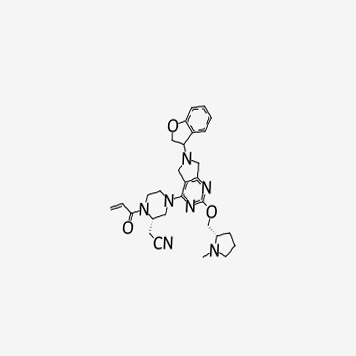 C=CC(=O)N1CCN(c2nc(OC[C@@H]3CCCN3C)nc3c2CN(C2COc4ccccc42)C3)C[C@@H]1CC#N